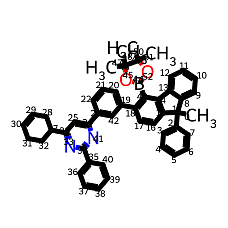 CC1(c2ccccc2)c2ccccc2-c2c1ccc(-c1cccc(-c3cc(C4CC=CCC4)nc(-c4ccccc4)n3)c1)c2B1OC(C)(C)C(C)(C)O1